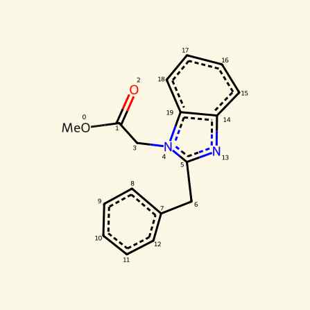 COC(=O)Cn1c(Cc2ccccc2)nc2ccccc21